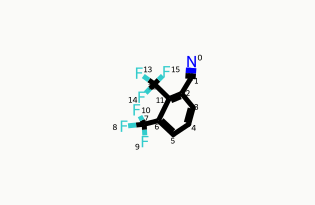 N#Cc1cccc(C(F)(F)F)c1C(F)(F)F